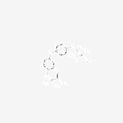 CC1=Cc2cc(Sc3ccc(O[Si](C)(C)C(C)(C)C)cc3)ccc2OC1(C)C